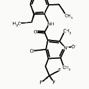 CCc1cccc(CC)c1NC(=O)c1c(Cl)c(CC(F)(F)F)c(C)[n+]([O-])c1C